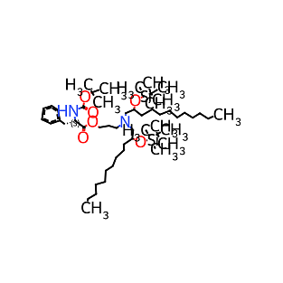 CCCCCCCCCCC(CN(CCCOC(=O)[C@H](Cc1ccccc1)NC(=O)OC(C)(C)C)CC(CCCCCCCCCC)O[Si](C)(C)C(C)(C)C)O[Si](C)(C)C(C)(C)C